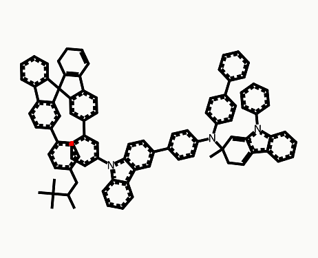 CC(Cc1ccc(-c2ccc3c(c2)C2(C4=C(C=CCC4)c4ccc(-c5cccc(-n6c7ccccc7c7cc(-c8ccc(N(c9ccc(-c%10ccccc%10)cc9)C9(C)C=c%10c(c%11ccccc%11n%10-c%10ccccc%10)=CC9)cc8)ccc76)c5)cc42)c2ccccc2-3)cc1)C(C)(C)C